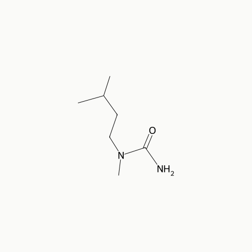 CC(C)CCN(C)C(N)=O